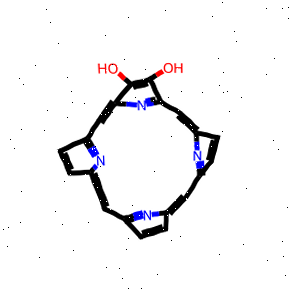 OC1=C(O)C2=NC1=CC1=NC(=CC3=NC(=CC4=NC(=C2)C=C4)C=C3)C=C1